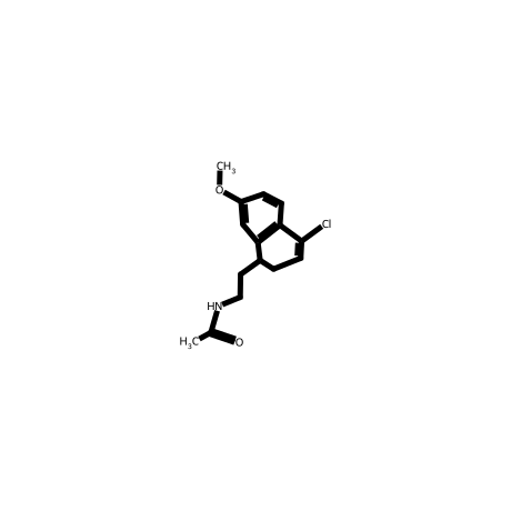 COc1ccc2c(c1)C(CCNC(C)=O)CC=C2Cl